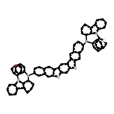 c1ccc(N(c2ccc3cc4c(cc3c2)oc2cc3oc5cc6cc(N(c7ccccc7)c7cccc8c9ccccc9n(-c9ccccc9)c78)ccc6cc5c3cc24)c2cccc3c4ccccc4n(-c4ccccc4)c23)cc1